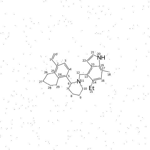 C=Cc1ccc(C2CCCCN2Cc2c(CC)cc(C)c3[nH]ccc23)c2c1CCCC2